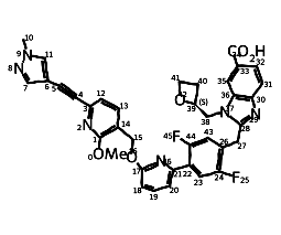 COc1nc(C#Cc2cnn(C)c2)ccc1COc1cccc(-c2cc(F)c(Cc3nc4ccc(C(=O)O)cc4n3C[C@@H]3CCO3)cc2F)n1